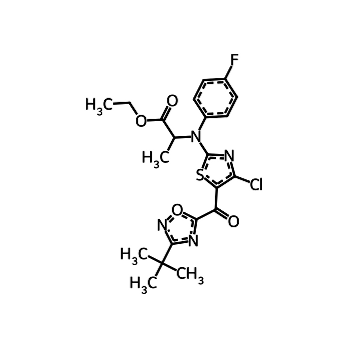 CCOC(=O)C(C)N(c1ccc(F)cc1)c1nc(Cl)c(C(=O)c2nc(C(C)(C)C)no2)s1